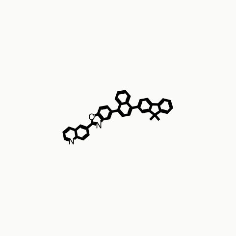 CC1(C)c2ccccc2-c2ccc(-c3ccc(-c4ccc5oc(C6=CC7C=CC=NC7C=C6)nc5c4)c4ccccc34)cc21